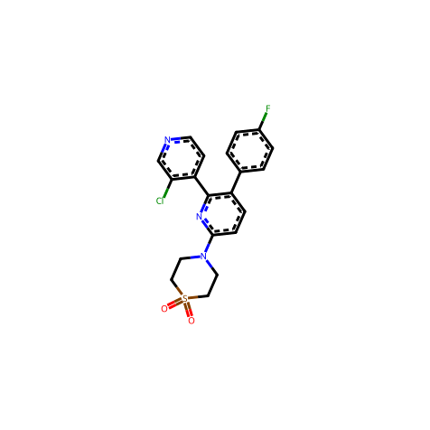 O=S1(=O)CCN(c2ccc(-c3ccc(F)cc3)c(-c3ccncc3Cl)n2)CC1